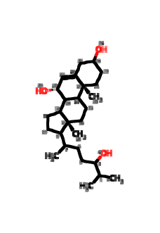 CC(C)C(O)CCC(C)C1CCC2C3C(CC[C@]12C)[C@@]1(C)CCC(O)CC1=C[C@H]3O